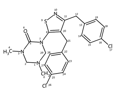 CN1CN(C)C(=O)N(c2snc(Cc3ccc(Cl)cc3)c2Cc2ccc(Cl)cc2)C1